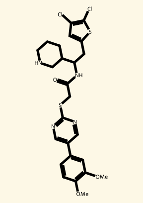 COc1ccc(-c2cnc(SCC(=O)NC(Cc3cc(Cl)c(Cl)s3)C3CCCNC3)nc2)cc1OC